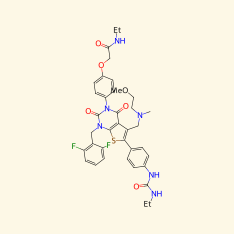 CCNC(=O)COc1ccc(-n2c(=O)c3c(CN(C)CCOC)c(-c4ccc(NC(=O)NCC)cc4)sc3n(Cc3c(F)cccc3F)c2=O)cc1